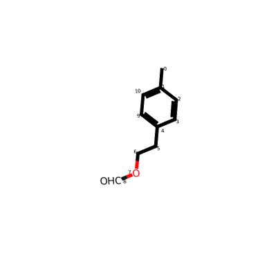 Cc1ccc(CCOC=O)cc1